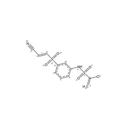 C=C(Cl)S(=O)(=O)Nc1cccc(S(=O)(=O)/C=C/C#N)c1